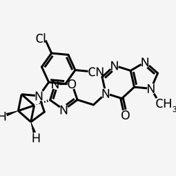 Cn1cnc2ncn(Cc3nc([C@@]45C6[C@H]4[C@H]5CN6c4cc(Cl)cc(C#N)c4)no3)c(=O)c21